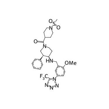 COc1ccc(-n2nnnc2C(F)(F)F)cc1CN[C@@H]1CCN(C(=O)C2CCN(S(C)(=O)=O)CC2)C[C@@H]1c1ccccc1